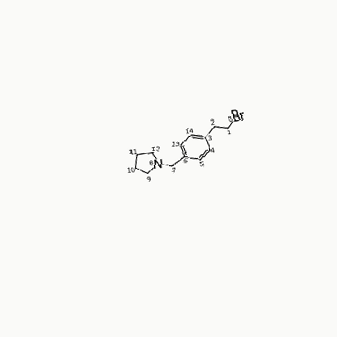 BrCCc1ccc(CN2CCCC2)cc1